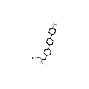 CCC(C)CC1CC=C(c2ccc(-c3ccc(O)cc3)cc2)CC1